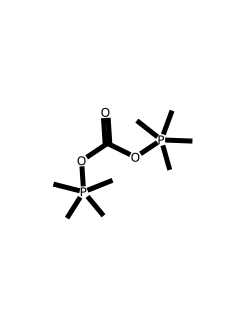 CP(C)(C)(C)OC(=O)OP(C)(C)(C)C